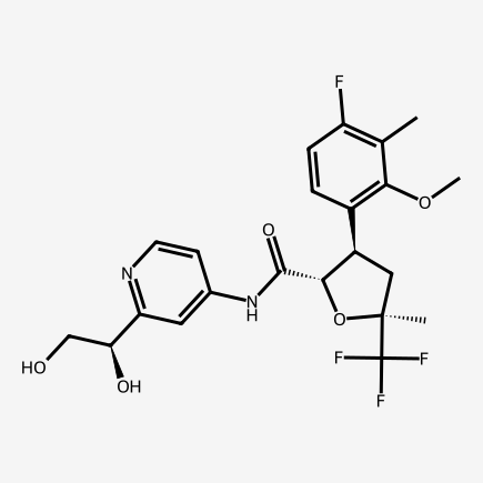 COc1c([C@H]2C[C@@](C)(C(F)(F)F)O[C@@H]2C(=O)Nc2ccnc([C@@H](O)CO)c2)ccc(F)c1C